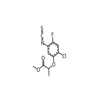 COC(=O)C(C)Oc1cc(N=C=S)c(F)cc1Cl